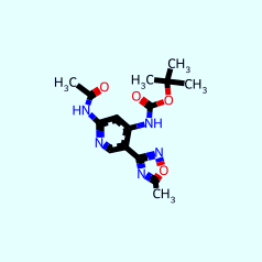 CC(=O)Nc1cc(NC(=O)OC(C)(C)C)c(-c2noc(C)n2)cn1